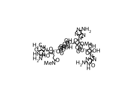 CNC(=O)CC[C@@H]1[C@@H](COP(=O)(O)OP(=O)(O)OP(=O)(O)OC[C@H]2O[C@@H](n3cnc4c(N)ncnc43)[C@H](OC)[C@@H]2OP(=O)([O-])OC[C@H]2O[C@@H](n3cnc4c(=O)[nH]c(N)nc43)[C@H](O)[C@@H]2O)OC(n2c[n+](C)c3c(=O)[nH]c(N)nc32)[C@@H]1O